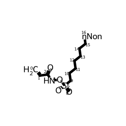 C=CC(=O)NOS(=O)(=O)CCCCCCCCCCCCCCCC